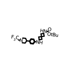 CC(C)(C)OC(=O)NC1CC2(C1)CC(Nc1ccc(C3CCN(CC(F)(F)F)CC3)cc1)C2